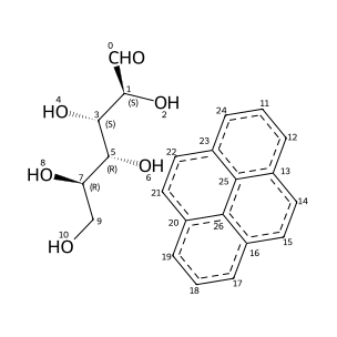 O=C[C@@H](O)[C@@H](O)[C@H](O)[C@H](O)CO.c1cc2ccc3cccc4ccc(c1)c2c34